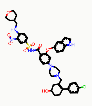 O=C(NS(=O)(=O)c1ccc(NCC2CCOCC2)c([N+](=O)[O-])c1)c1ccc(N2CCN(CC3=C(c4ccc(Cl)cc4)CCC(O)C3)CC2)cc1Oc1ccc2[nH]ccc2c1